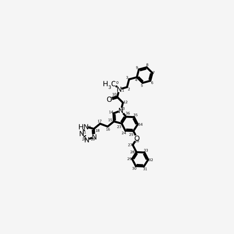 CN(CCc1ccccc1)C(=O)Cn1cc(CCc2nnn[nH]2)c2cc(OCc3ccccc3)ccc21